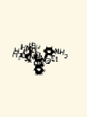 CCc1c(N)cccc1C(=O)N[C@@H](Cc1ccccc1)[C@H](O)C(=O)N1CSC(C)(C)C1C(=O)NC(C)(C)C